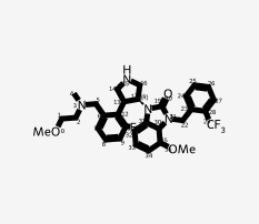 COCCN(C)Cc1cccc(F)c1C1CNC[C@@H]1N1C(=O)N(Cc2ccccc2C(F)(F)F)C2C1=CC=CC2OC